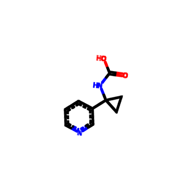 O=C(O)NC1(c2cccnc2)CC1